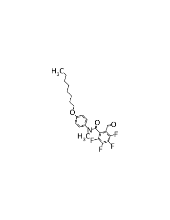 CCCCCCCCOc1ccc(N(C)C(=O)c2c(F)c(F)c(F)c(F)c2C=O)cc1